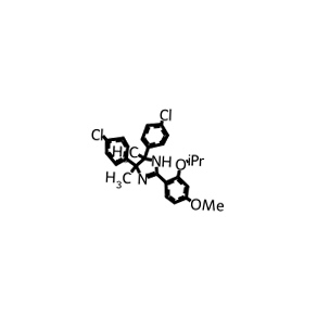 COc1ccc(C2=NC(C)(c3ccc(Cl)cc3)C(C)(c3ccc(Cl)cc3)N2)c(OC(C)C)c1